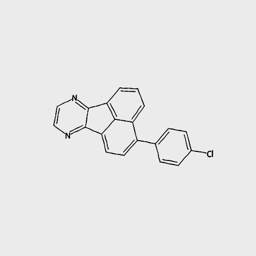 Clc1ccc(-c2ccc3c4c(cccc24)-c2nccnc2-3)cc1